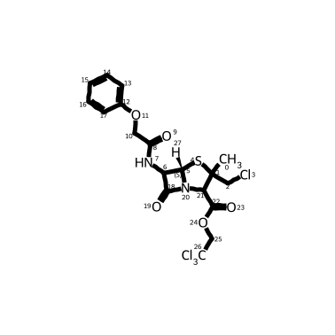 CC1(CCl)S[C@H]2C(NC(=O)COc3ccccc3)C(=O)N2C1C(=O)OCC(Cl)(Cl)Cl